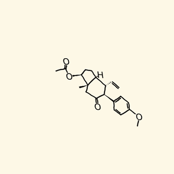 C=C[C@@H]1[C@@H](c2ccc(OC)cc2)C(=O)C[C@]2(C)[C@@H](OC(C)=O)CC[C@@H]12